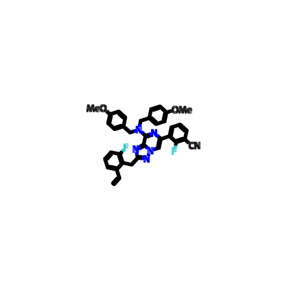 C=Cc1cccc(F)c1Cc1nc2c(N(Cc3ccc(OC)cc3)Cc3ccc(OC)cc3)nc(-c3cccc(C#N)c3F)cn2n1